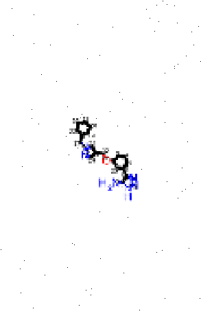 Nc1[nH]nnc1-c1cccc(OCc2cnn(Cc3ccccc3)c2)c1